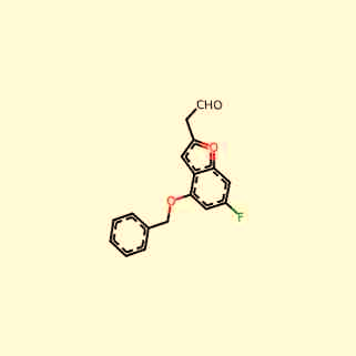 O=CCc1cc2c(OCc3ccccc3)cc(F)cc2o1